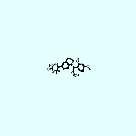 COc1ccc(C(=NO)N2CCCc3cc(C4=NNC(=O)SC4(C)C)ccc32)c(OC)c1